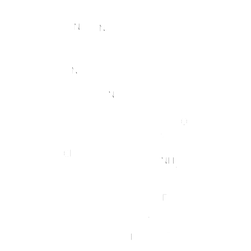 NC(=O)c1cn(-c2ncnn3cccc23)cc1-c1cc(C(F)(F)F)ccc1Cl